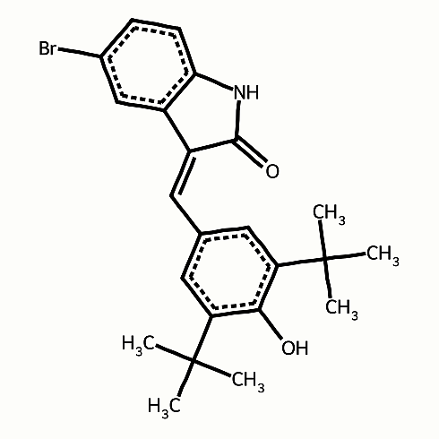 CC(C)(C)c1cc(C=C2C(=O)Nc3ccc(Br)cc32)cc(C(C)(C)C)c1O